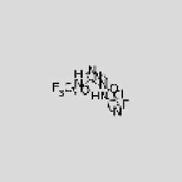 CC(NC(=O)c1cnn2c1CN(C(=O)Nc1ccnc(F)c1Cl)CC2)C(F)(F)F